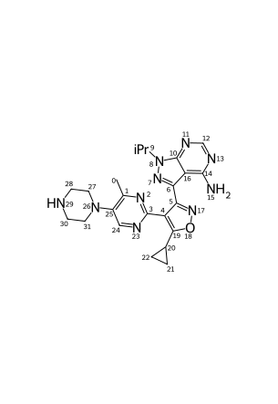 Cc1nc(-c2c(-c3nn(C(C)C)c4ncnc(N)c34)noc2C2CC2)ncc1N1CCNCC1